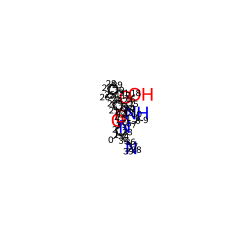 Cc1cc(=O)n(C(CC(C)C)C(=O)N[C@@H](CC(=O)O)c2cccc(-c3c(C)cccc3C)c2)cc1CCN(C)C